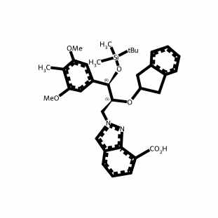 COc1cc([C@@H](O[Si](C)(C)C(C)(C)C)[C@H](Cn2cc3cccc(C(=O)O)c3n2)OC2Cc3ccccc3C2)cc(OC)c1C